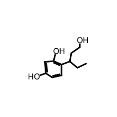 CCC(CCO)c1ccc(O)cc1O